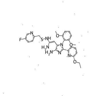 CCOc1cccc(-c2nc(N)c(/C=C(\N)NSCc3ccc(F)cn3)n2-c2c(OC)cccc2OC)n1